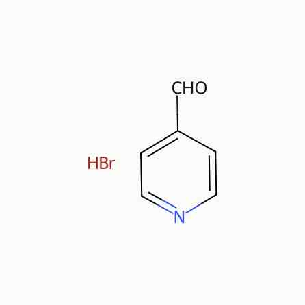 Br.O=Cc1ccncc1